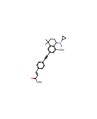 COC(=O)/C=C/c1ccc(C#Cc2cc(OC)c3c(c2)C(C)(C)CCC3N(C)C2CC2)cc1